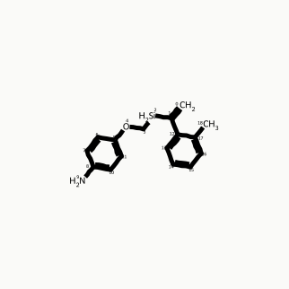 C=C([SiH2]COc1ccc(N)cc1)c1ccccc1C